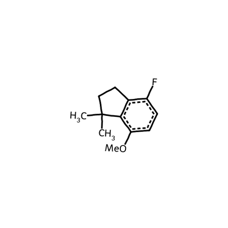 COc1ccc(F)c2c1C(C)(C)CC2